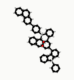 c1ccc(-n2c3ccccc3c3c(-c4cccc(-c5ccccc5N(c5ccc(-c6ccc7c(ccc8ccccc87)c6)cc5)c5cccc6ccccc56)c4)cccc32)cc1